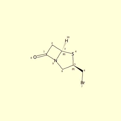 O=C1C[C@H]2S[C@@H](CBr)CN12